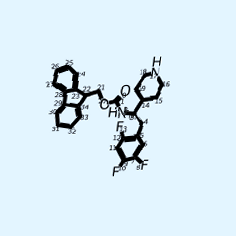 O=C(N[C@H](Cc1cc(F)c(F)cc1F)C1CCNCC1)OCC1c2ccccc2-c2ccccc21